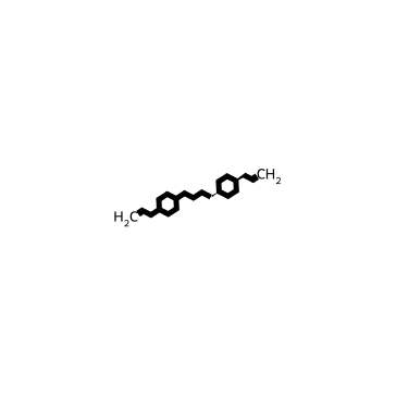 C=CCC1CCC(CCCC[C@H]2CC[C@H](CC=C)CC2)CC1